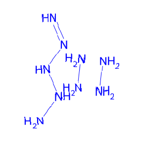 N=NNNN.NN.NN